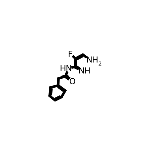 N=C(NC(=O)Cc1ccccc1)/C(F)=C\N